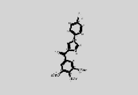 COc1cc(C(=O)c2cn(-c3ccc(C(F)(F)F)cc3)cn2)cc(OC)c1OC